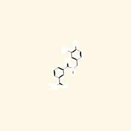 CN(Cc1ccc(F)c(Br)c1)C(=O)c1cccc(C(=O)O)c1